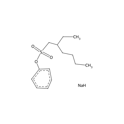 CCCCC(CC)CS(=O)(=O)Oc1ccccc1.[NaH]